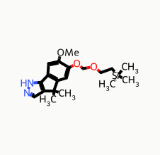 COc1cc2c(cc1OCOCC[Si](C)(C)C)C(C)(C)c1cn[nH]c1-2